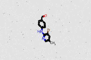 Cc1cnc(Nc2ccc(C=O)cc2)c(Br)c1